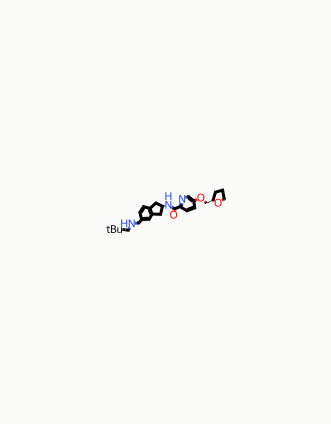 CC(C)(C)CNCc1ccc2c(c1)C[C@H](NC(=O)c1ccc(OC[C@@H]3CCCO3)cn1)C2